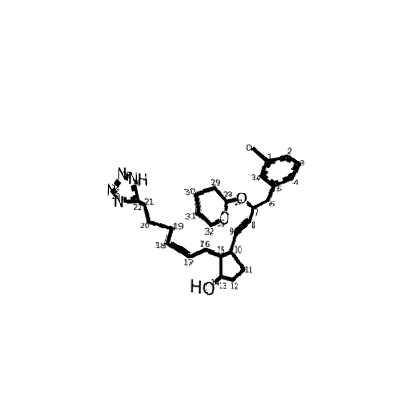 Cc1cccc(CC(C=CC2CCC(O)C2C/C=C\CCCc2nnn[nH]2)OC2CCCCO2)c1